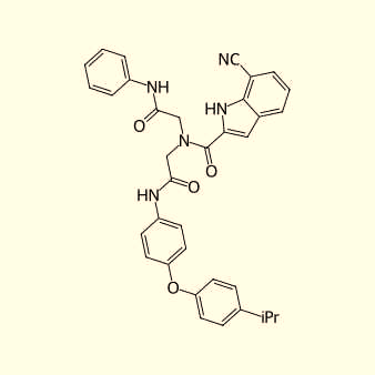 CC(C)c1ccc(Oc2ccc(NC(=O)CN(CC(=O)Nc3ccccc3)C(=O)c3cc4cccc(C#N)c4[nH]3)cc2)cc1